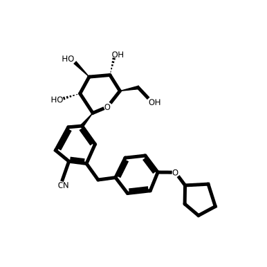 N#Cc1ccc([C@@H]2O[C@H](CO)[C@@H](O)[C@H](O)[C@H]2O)cc1Cc1ccc(OC2CCCC2)cc1